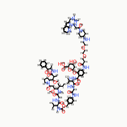 CCC(C)C(C(CC(=O)N1CCCC1C(OC)C(C)C(=O)NC(C)C(O)c1ccccc1)OC)N(C)C(=O)CNC(=O)C(C(C)C)N(C)C(=O)OCc1ccc(NC(=O)CNC(=O)C(NC(=O)c2ccc(NC(=O)CCOCCOCCNC3CCN(C(=O)CCn4c(CN(C)NC)cc5cccnc54)CC3)cc2OC2CC(O)CC(C(=O)O)O2)C(C)C)cc1